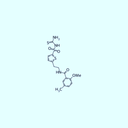 COc1ccc(C)cc1C(=O)NCCc1ccc(S(=O)(=O)NC(N)=S)s1